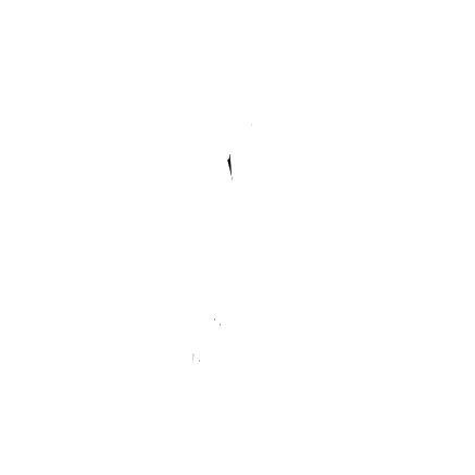 COC(=O)[C@H]1CC[C@H](Cc2ccnn2C)CC1